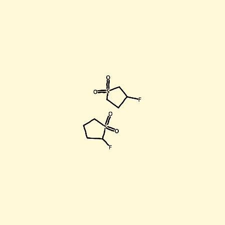 O=S1(=O)CCC(F)C1.O=S1(=O)CCCC1F